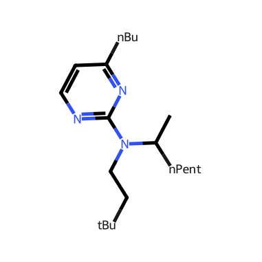 CCCCCC(C)N(CCC(C)(C)C)c1nccc(CCCC)n1